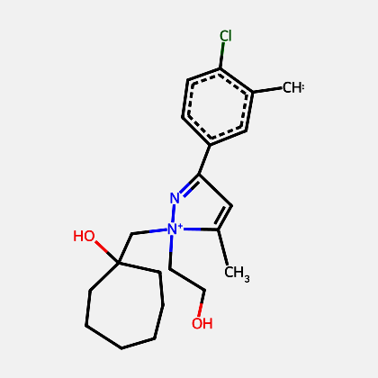 [CH]c1cc(C2=N[N+](CCO)(CC3(O)CCCCCC3)C(C)=C2)ccc1Cl